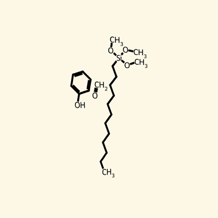 C=O.CCCCCCCCCCCC[Si](OC)(OC)OC.Oc1ccccc1